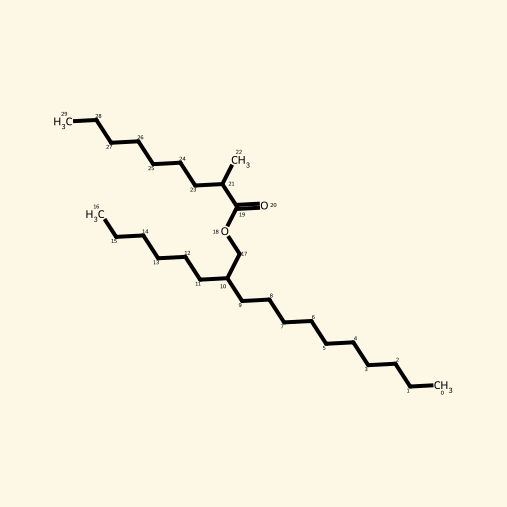 CCCCCCCCCCC(CCCCCC)COC(=O)C(C)CCCCCCC